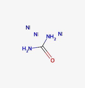 NC(N)=O.[N].[N].[N]